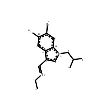 CC/N=C/c1cn(CC(C)C)c2cc(Br)c(F)cc12